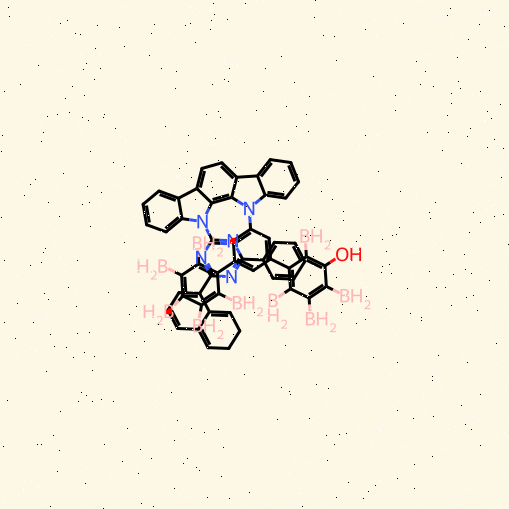 Bc1c(B)c(B)c(-c2cc(-c3c(B)c(B)c(B)c(O)c3B)cc(-n3c4ccccc4c4ccc5c6ccccc6n(-c6nc(-c7ccccc7)nc(-c7cccc8c7=CCCC=8)n6)c5c43)c2)c(B)c1B